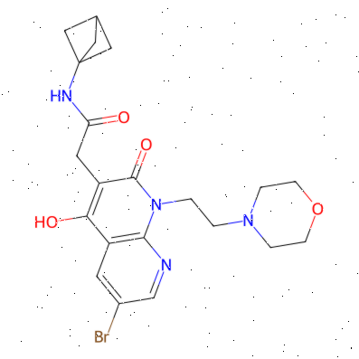 O=C(Cc1c(O)c2cc(Br)cnc2n(CCN2CCOCC2)c1=O)NC12CC(C1)C2